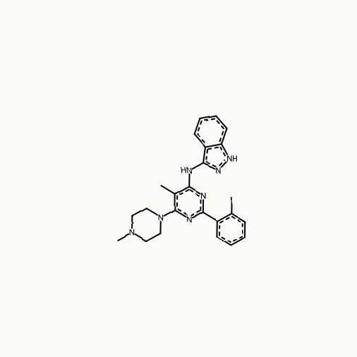 Cc1ccccc1-c1nc(Nc2n[nH]c3ccccc23)c(C)c(N2CCN(C)CC2)n1